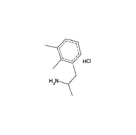 Cc1cccc(CC(C)N)c1C.Cl